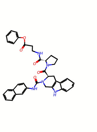 O=C(CCNC(=O)[C@@H]1CCCN1C(=O)[C@H]1Cc2c([nH]c3ccccc23)CN1C(=O)Nc1ccc2ccccc2c1)Oc1ccccc1